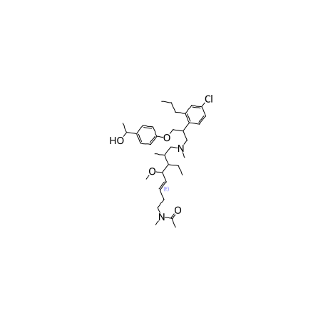 CCCc1cc(Cl)ccc1C(COc1ccc(C(C)O)cc1)CN(C)CC(C)C(CC)C(/C=C/CCN(C)C(C)=O)OC